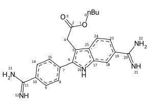 CCCCOC(=O)Cc1c(-c2ccc(C(=N)N)cc2)[nH]c2cc(C(=N)N)ccc12